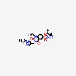 CCCn1c(=O)n(Cc2cnn(C)c2)c(=O)c2cc(S(=O)(=O)NC3(CF)CC3)ccc21